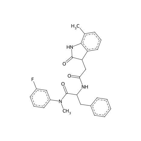 Cc1cccc2c1NC(=O)C2CC(=O)NC(Cc1ccccc1)C(=O)N(C)c1cccc(F)c1